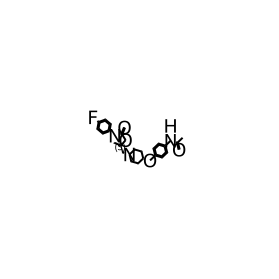 CC(=O)Nc1ccc(OC2CCN(C[C@H]3CN(c4ccc(F)cc4)C(=O)O3)CC2)cc1